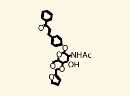 CC(=O)NC1C(Oc2ccc(/C=C/C(=O)c3ccccc3)cc2)OC2COC(c3ccco3)OC2C1O